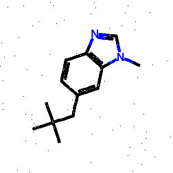 Cn1cnc2ccc(CC(C)(C)C)cc21